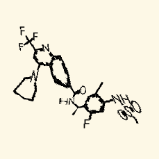 Cc1cc([C@@H](C)NC(=O)c2ccc3nc(C(F)(F)F)cc(N4CCCCC4)c3c2)c(F)cc1NS(C)(=O)=O